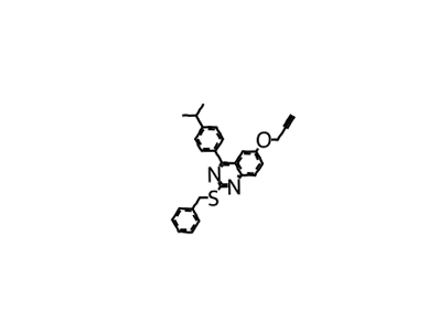 C#CCOc1ccc2nc(SCc3ccccc3)nc(-c3ccc(C(C)C)cc3)c2c1